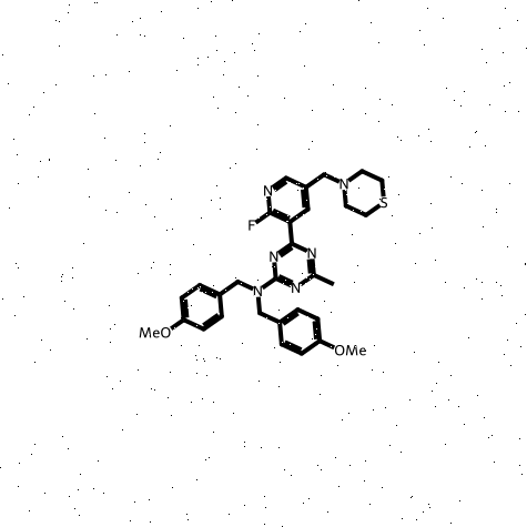 COc1ccc(CN(Cc2ccc(OC)cc2)c2nc(C)nc(-c3cc(CN4CCSCC4)cnc3F)n2)cc1